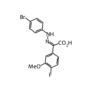 COc1cc(C(=NNc2ccc(Br)cc2)C(=O)O)ccc1F